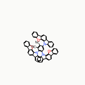 N#Cc1c(-n2c3ccccc3c3ccc4c5ccccc5oc4c32)cc(-n2c3ccccc3c3ccc4c5ccccc5oc4c32)c(-n2c3ccccc3c3ccc4c5ccccc5oc4c32)c1C#N